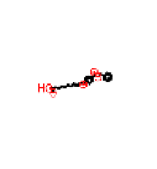 O=C(O)CCCCCCCCCOc1ccc(C(=O)OCc2ccccc2)cc1